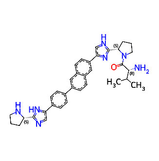 CC(C)[C@@H](N)C(=O)N1CCC[C@H]1c1nc(-c2ccc3cc(-c4ccc(-c5cnc([C@@H]6CCCN6)[nH]5)cc4)ccc3c2)c[nH]1